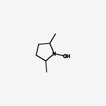 CC1CCC(C)N1O